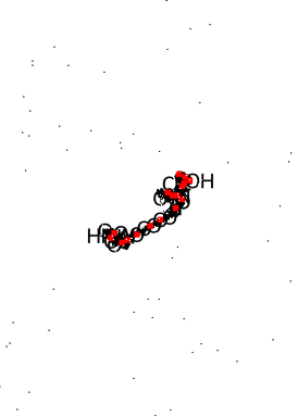 C=CC(=O)N1CCN(c2nc(O[C@H](C)CN3CCC(OCCOCCOCCOCCOCCNc4cccc5c4C(=O)N(C4CCC(=O)NC4=O)C5=O)CC3)nc3c(F)c(-c4cc(O)cc5ccccc45)c(Cl)cc23)CC1